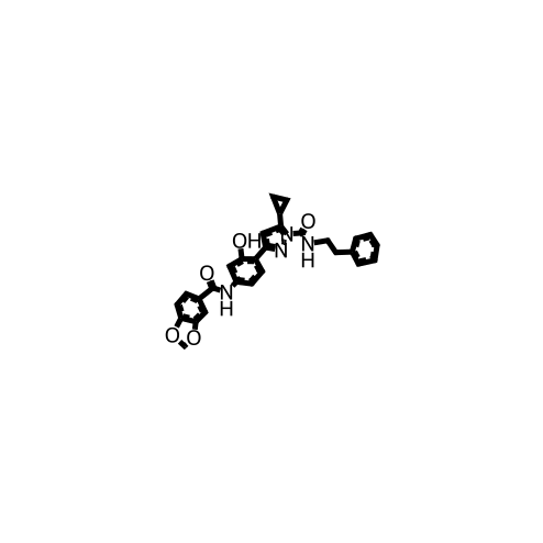 O=C(Nc1ccc(-c2cc(C3CC3)n(C(=O)NCCc3ccccc3)n2)c(O)c1)c1ccc2c(c1)OCO2